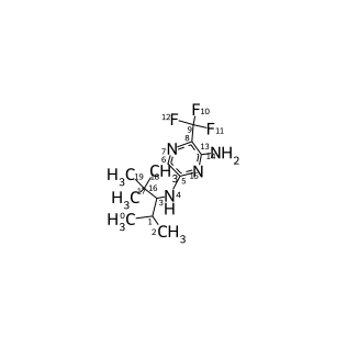 CC(C)C(Nc1cnc(C(F)(F)F)c(N)n1)C(C)(C)C